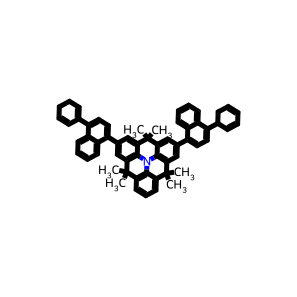 CC1(C)c2cccc3c2N2c4c1cc(-c1ccc(C5=CCCC=C5)c5ccccc15)cc4C(C)(C)c1cc(-c4ccc(C5C=CC=CC5)c5ccccc45)cc(c12)C3(C)C